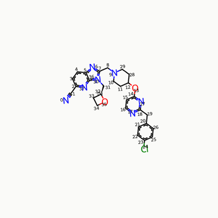 N#Cc1ccc2nc(CN3CCC(Oc4ccnc(Cc5ccc(Cl)cc5)n4)CC3)n(C[C@@H]3CCO3)c2n1